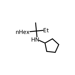 CCCCCCC(C)(CC)NC1CCCC1